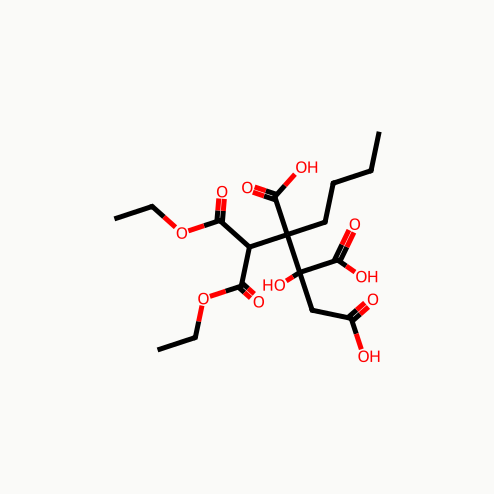 CCCCC(C(=O)O)(C(C(=O)OCC)C(=O)OCC)C(O)(CC(=O)O)C(=O)O